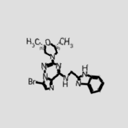 C[C@@H]1CN(c2nc(NCc3nc4ccccc4[nH]3)c3ncc(Br)n3n2)C[C@H](C)O1